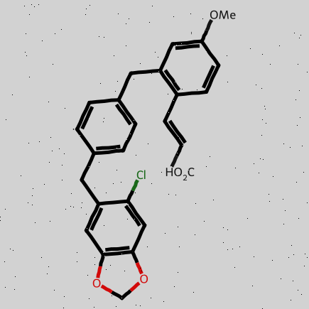 COc1ccc(C=CC(=O)O)c(Cc2c[c]c(Cc3cc4c(cc3Cl)OCO4)cc2)c1